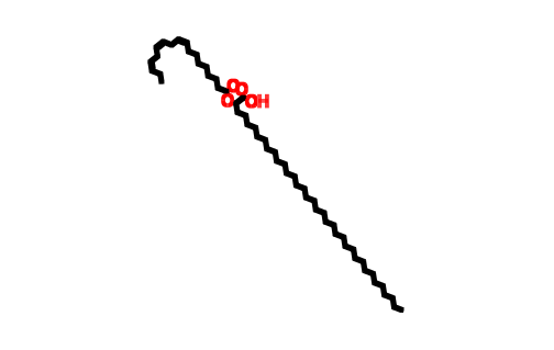 CC/C=C\C/C=C\C/C=C\CCCCCCCC(=O)OC(CCCCCCCCCCCCCCCCCCCCCCCCCCCCCCCCCC)C(=O)O